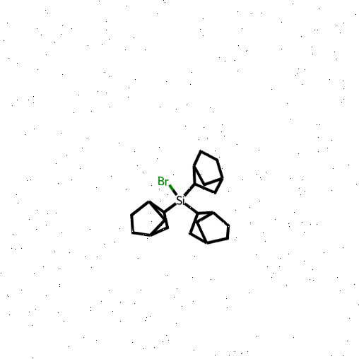 Br[Si](C1CC2CCC1C2)(C1CC2CCC1C2)C1CC2CCC1C2